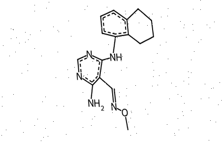 CO/N=C/c1c(N)ncnc1Nc1cccc2c1CCCC2